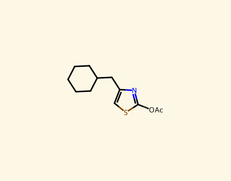 CC(=O)Oc1nc(CC2CCCCC2)cs1